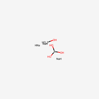 O=S(=O)(O)O.OB(O)O.[NaH].[NaH].[NaH]